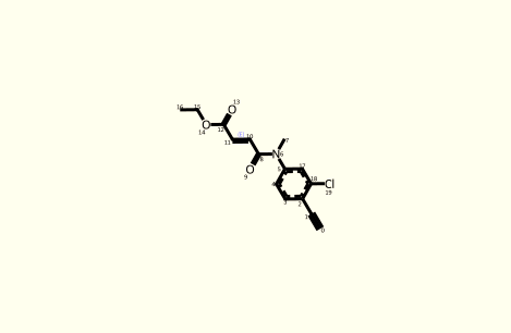 C#Cc1ccc(N(C)C(=O)/C=C/C(=O)OCC)cc1Cl